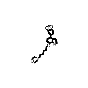 c1cnc2c(OCCCCCCN3CCOCC3)ccc(-c3ccc4c(c3)OCO4)c2c1